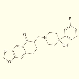 O=C1c2cc3c(cc2CCC1CN1CCC(O)(c2cccc(F)c2)CC1)OCO3